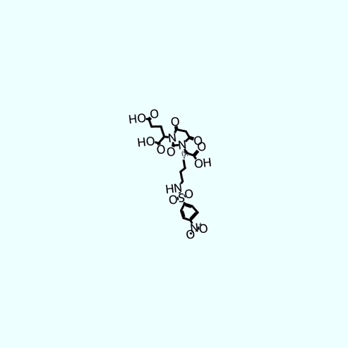 O=C(O)CCC(C(=O)O)N1C(=O)CC(=O)N([C@@H](CCCCNS(=O)(=O)c2ccc([N+](=O)[O-])cc2)C(=O)O)C1=O